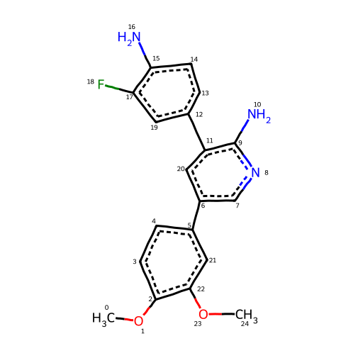 COc1ccc(-c2cnc(N)c(-c3ccc(N)c(F)c3)c2)cc1OC